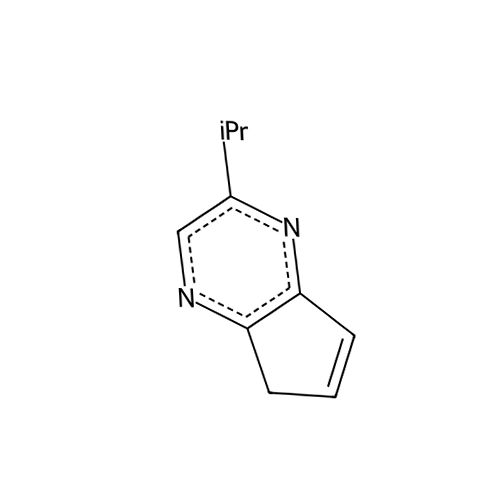 CC(C)c1cnc2c(n1)C=CC2